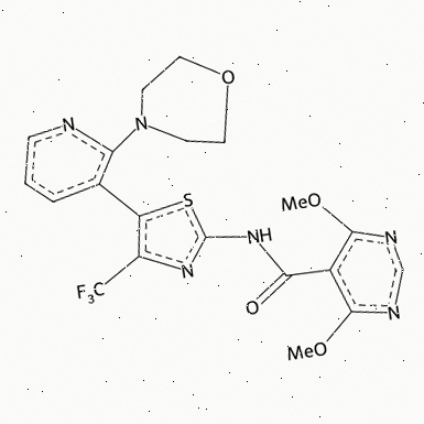 COc1ncnc(OC)c1C(=O)Nc1nc(C(F)(F)F)c(-c2cccnc2N2CCOCC2)s1